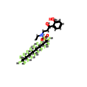 CCN(CCC(=O)c1ccccc1O)S(=O)(=O)C(F)(F)C(F)(F)C(F)(F)C(F)(F)C(F)(F)C(F)(F)C(F)(F)C(F)(F)F